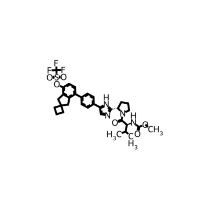 COC(=O)N[C@H](C(=O)N1CCC[C@H]1c1ncc(-c2ccc(-c3ccc(OS(=O)(=O)C(F)(F)F)c4c3CC3(CCC3)C4)cc2)[nH]1)C(C)C